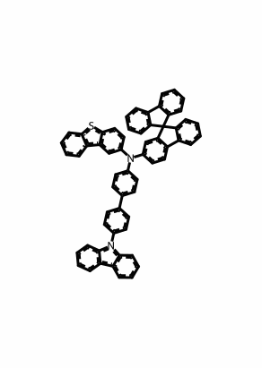 c1ccc2c(c1)-c1ccccc1C21c2ccccc2-c2ccc(N(c3ccc(-c4ccc(-n5c6ccccc6c6ccccc65)cc4)cc3)c3ccc4sc5ccccc5c4c3)cc21